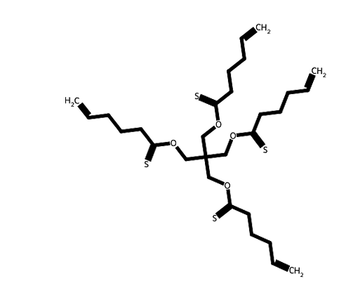 C=CCCCC(=S)OCC(COC(=S)CCCC=C)(COC(=S)CCCC=C)COC(=S)CCCC=C